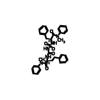 CN(C(=O)[C@H](CCc1ccccc1)NC(=O)NS(=O)(=O)N[C@@H](Cc1ccccc1)C(=O)N(C)c1ccccc1)c1ccccc1